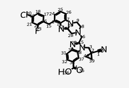 N#CC1(Cn2c(CN3CCn4c(nc5c(Cc6ccc(Cl)cc6F)cccc54)C3)nc3ccc(C(=O)O)cc32)CC1